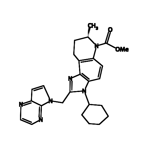 COC(=O)N1c2ccc3c(nc(Cn4ccc5nccnc54)n3C3CCCCC3)c2CC[C@@H]1C